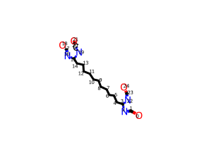 O=C=NC(CCCCCCCCCCCC(N=C=O)N=C=O)N=C=O